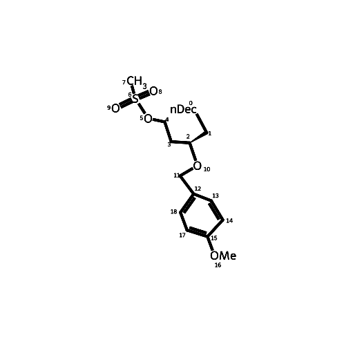 CCCCCCCCCCC[C@H](CCOS(C)(=O)=O)OCc1ccc(OC)cc1